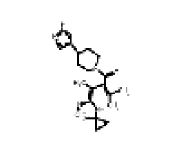 C=N/C(NC1(C)CC1)=C(\C)C(C(=O)N1CCC(c2cn[nH]c2)CC1)=C(C)C